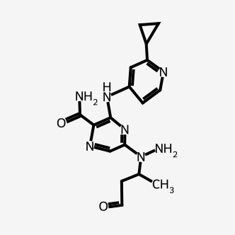 CC(CC=O)N(N)c1cnc(C(N)=O)c(Nc2ccnc(C3CC3)c2)n1